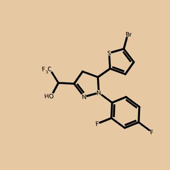 OC(C1=NN(c2ccc(F)cc2F)C(c2ccc(Br)s2)C1)C(F)(F)F